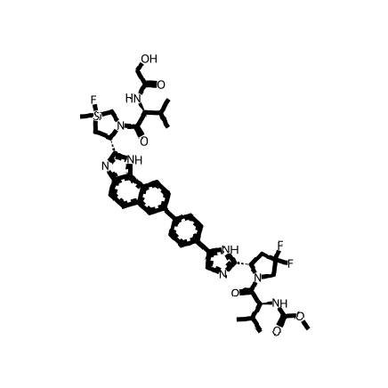 COC(=O)N[C@H](C(=O)N1CC(F)(F)C[C@H]1c1ncc(-c2ccc(-c3ccc4c(ccc5nc([C@@H]6C[Si](C)(F)CN6C(=O)[C@@H](NC(=O)CO)C(C)C)[nH]c54)c3)cc2)[nH]1)C(C)C